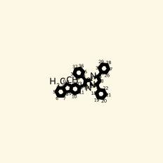 CC1(C)c2ccccc2-c2ccc(-c3nn4c(-c5ccccc5)cc(-c5ccccc5)nc4c3-c3ccccc3)cc21